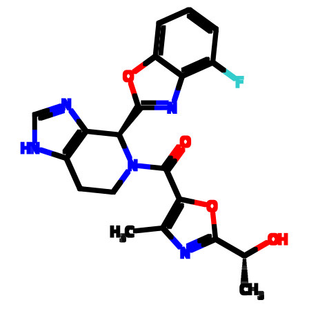 Cc1nc([C@@H](C)O)oc1C(=O)N1CCc2[nH]cnc2[C@H]1c1nc2c(F)cccc2o1